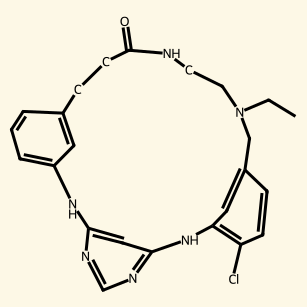 CCN1CCNC(=O)CCc2cccc(c2)Nc2cc(ncn2)Nc2cc(ccc2Cl)C1